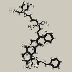 CC[C@@]1(OC(=O)OCc2ccccc2)C(=O)OCc2c1cc1n(c2=O)Cc2c-1nc1ccccc1c2CC[Si](C)(C)CCCO[Si](CC)(CC)CC